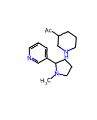 CC(=O)C1CCCNC1.CN1CCCC1c1cccnc1